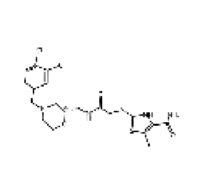 CC1=C(C(N)=O)NC(SCC(=O)NC[C@H]2CN(CC3C=C(Cl)C(Cl)=CC3)CCO2)S1